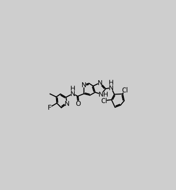 Cc1cc(NC(=O)c2cc3[nH]c(Nc4c(Cl)cccc4Cl)nc3cn2)ncc1F